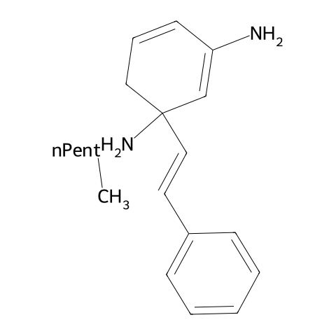 CCCCCC.NC1=CC(N)(C=Cc2ccccc2)CC=C1